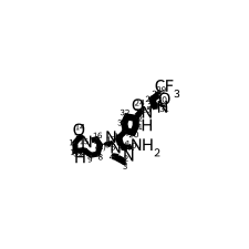 Nc1nccn2c([C@@H]3CC[C@H]4CCC(=O)N4C3)nc(-c3ccc(C(=O)Nc4cc(C(F)(F)F)on4)cc3)c12